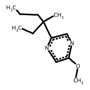 CCCC(C)(CC)c1cnc(OC)cn1